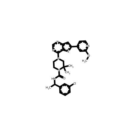 COc1cc(-c2cc3ncnc(N4CCN(C(=O)NC(C)c5cccc(Cl)c5)C(C)(C)C4)c3s2)ccn1